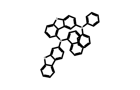 c1ccc(N(c2ccccc2)c2ccc3sc4cccc(N(c5ccc6c(c5)sc5ccccc56)c5cccc6ccccc56)c4c3c2)cc1